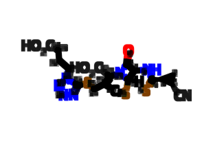 N#C[C@@H]1C[C@@H]1C(=S)NC1C(=O)N2C(C(=O)O)=C(CSc3nnnn3CCCC(=O)O)CS[C@@H]12